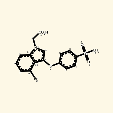 CS(=O)(=O)c1ccc(Sc2cn(CC(=O)O)c3cccc(Br)c23)cc1